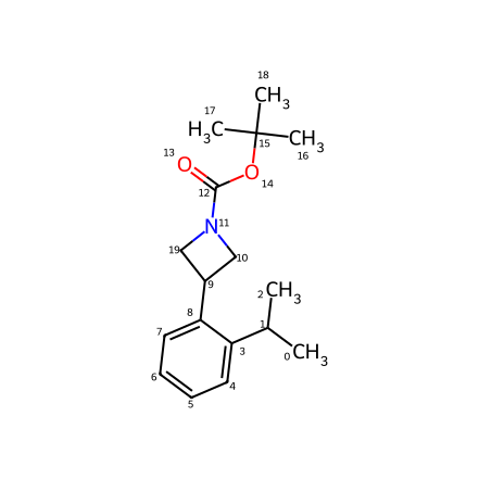 CC(C)c1ccccc1C1CN(C(=O)OC(C)(C)C)C1